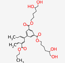 C=C/C(=C\C(=C/CC)c1cc(C(=O)OCCCCC(O)CO)cc(C(=O)OCCCCC(O)CO)c1)C(=O)OCCC